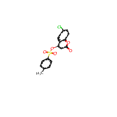 Cc1ccc(S(=O)(=O)Oc2cc(=O)oc3ccc(Cl)cc23)cc1